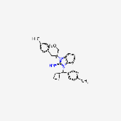 COC[C@H](Cc1ccc(C)cc1)n1c(=N)n(C(c2ccc(C)cc2)C2CCC2)c2ccccc21